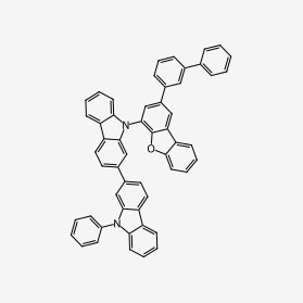 c1ccc(-c2cccc(-c3cc(-n4c5ccccc5c5ccc(-c6ccc7c8ccccc8n(-c8ccccc8)c7c6)cc54)c4oc5ccccc5c4c3)c2)cc1